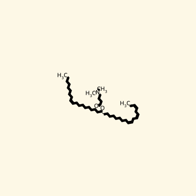 CC/C=C\C/C=C\C/C=C\CCCCCCCC[C@H](CCCCCCCC/C=C\CCCCCCCC)OC(=O)CCCN(C)C